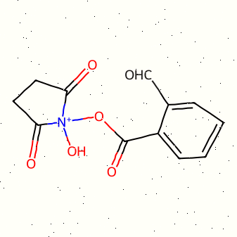 O=Cc1ccccc1C(=O)O[N+]1(O)C(=O)CCC1=O